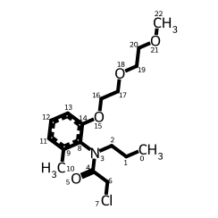 CCCN(C(=O)CCl)c1c(C)cccc1OCCOCCOC